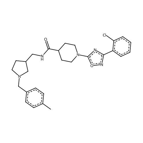 Cc1ccc(CN2CCC(CNC(=O)C3CCN(c4nc(-c5ccccc5Cl)no4)CC3)C2)cc1